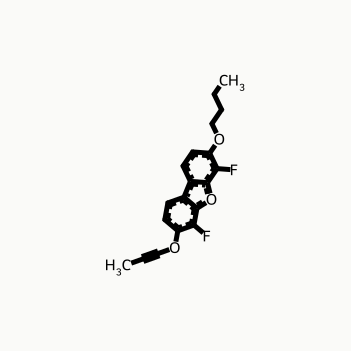 CC#COc1ccc2c(oc3c(F)c(OCCCC)ccc32)c1F